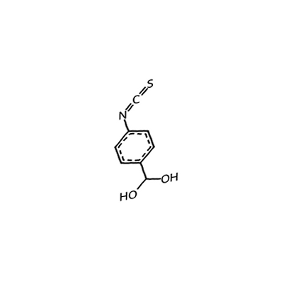 OC(O)c1ccc(N=C=S)cc1